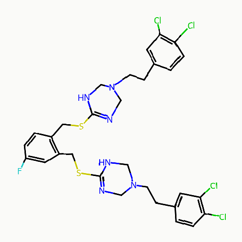 Fc1ccc(CSC2=NCN(CCc3ccc(Cl)c(Cl)c3)CN2)c(CSC2=NCN(CCc3ccc(Cl)c(Cl)c3)CN2)c1